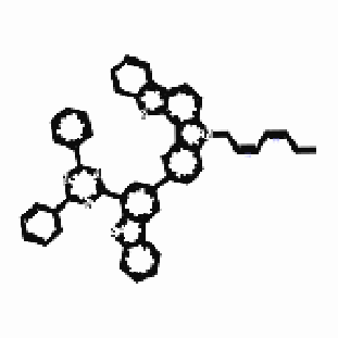 CC/C=C\C=C/Cn1c2ccc(-c3cc(-c4nc(-c5ccccc5)nc(C5C=CC=CC5)n4)c4sc5ccccc5c4c3)cc2c2c3sc4c(c3ccc21)C=CCC4